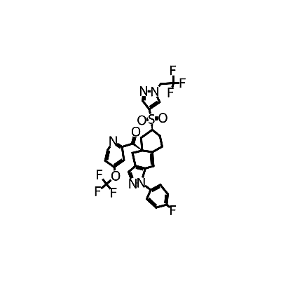 O=C(c1cc(OC(F)(F)F)ccn1)[C@]12Cc3cnn(-c4ccc(F)cc4)c3C=C1CC[C@H](S(=O)(=O)c1cnn(CC(F)(F)F)c1)C2